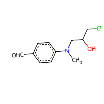 CN(CC(O)CCl)c1ccc(C=O)cc1